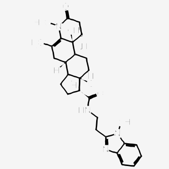 CC1=C2N(C)C(=O)CC[C@]2(C)[C@H]2CC[C@]3(C)[C@@H](C(=O)NCCc4nc5ccccc5n4C)CC[C@H]3[C@@H]2C1